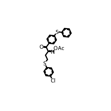 CC(=O)ON=C(CCSc1ccc(Cl)cc1)C(=O)c1ccc(Sc2ccccc2)cc1